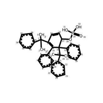 CC(C)(C1=C(c2ccccc2)C(c2ccccc2)(C(C)(C)c2ccccc2)C(OP(=O)(O)O)C=C1)c1ccccc1